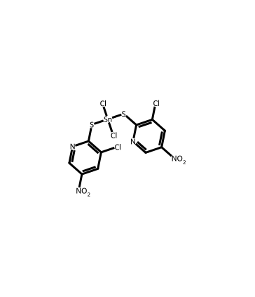 O=[N+]([O-])c1cnc([S][Sn]([Cl])([Cl])[S]c2ncc([N+](=O)[O-])cc2Cl)c(Cl)c1